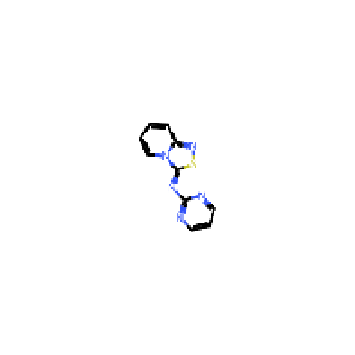 c1cnc(/N=c2\snc3ccccn23)nc1